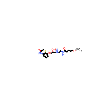 O=C(CCCCO[N+](=O)[O-])NCCNCC(O)COc1cccc2c1SCC(=O)N2